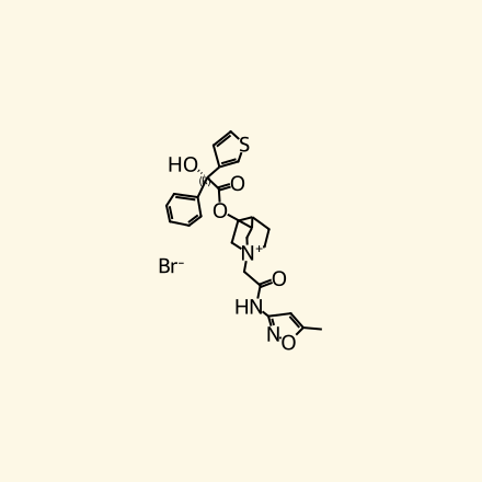 Cc1cc(NC(=O)C[N+]23CCC(CC2)C(OC(=O)[C@@](O)(c2ccccc2)c2ccsc2)C3)no1.[Br-]